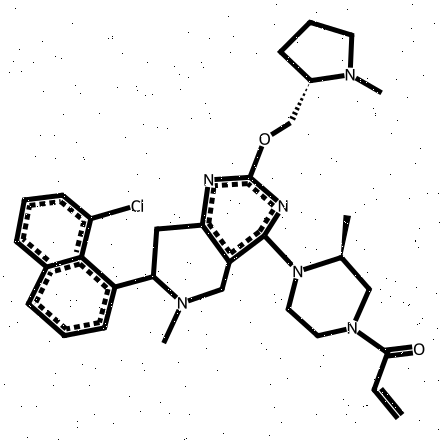 C=CC(=O)N1CCN(c2nc(OC[C@@H]3CCCN3C)nc3c2CN(C)C(c2cccc4cccc(Cl)c24)C3)[C@@H](C)C1